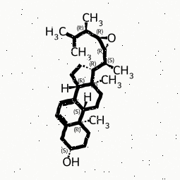 CC(C)[C@@H](C)[C@H]1O[C@@H]1[C@@H](C)[C@H]1CC[C@H]2C3=CC=C4C[C@@H](O)CC[C@]4(C)[C@H]3CC[C@]12C